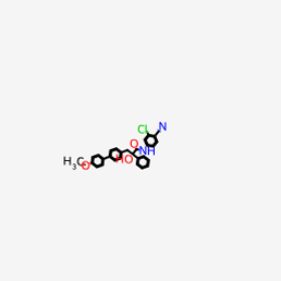 COc1ccc(-c2ccc(CC(O)(C(=O)Nc3ccc(C#N)c(Cl)c3)c3ccccc3)cc2)cc1